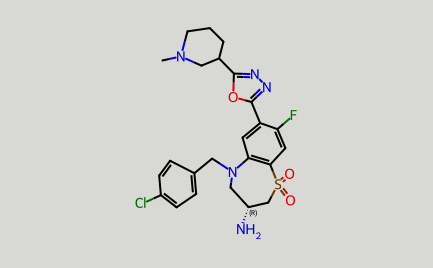 CN1CCCC(c2nnc(-c3cc4c(cc3F)S(=O)(=O)C[C@H](N)CN4Cc3ccc(Cl)cc3)o2)C1